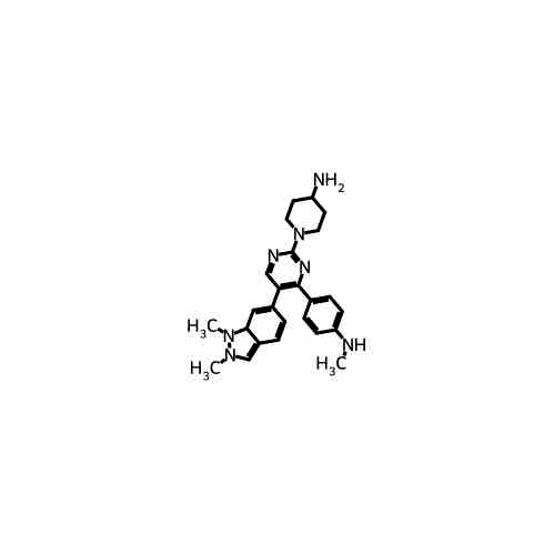 CNc1ccc(-c2nc(N3CCC(N)CC3)ncc2C2=CC3C(=CN(C)N3C)C=C2)cc1